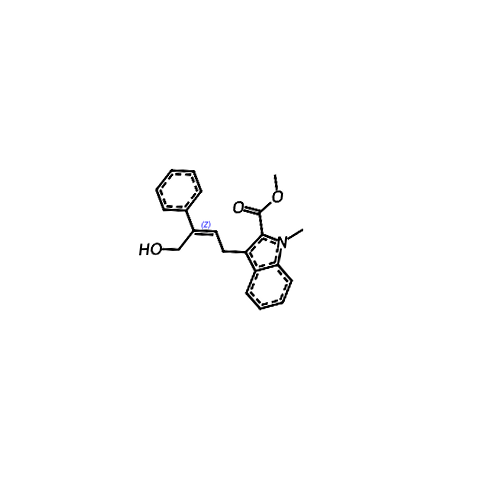 COC(=O)c1c(C/C=C(\CO)c2ccccc2)c2ccccc2n1C